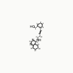 OCc1ccccc1C#CCCNc1ncnc2ccccc12